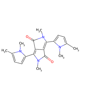 Cc1ccc(C2=C3C(=O)N(C)C(c4ccc(C)n4C)=C3C(=O)N2C)n1C